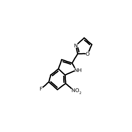 O=[N+]([O-])c1cc(F)cc2cc(-c3ncco3)[nH]c12